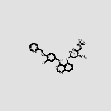 C[C@@H](CN(C)C(=O)CS(C)(=O)=O)Oc1cccc2ncnc(Nc3ccc(OCc4ccccn4)c(Cl)c3)c12